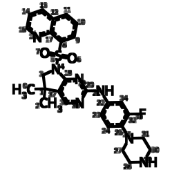 CC1(C)CN(S(=O)(=O)c2cccc3cccnc23)c2nc(Nc3ccc(N4CCNCC4)c(F)c3)ncc21